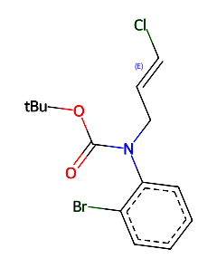 CC(C)(C)OC(=O)N(C/C=C/Cl)c1ccccc1Br